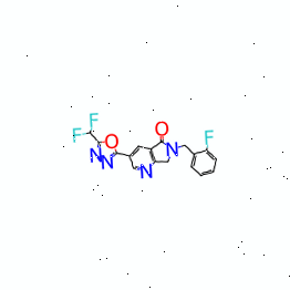 O=C1c2cc(-c3nnc(C(F)F)o3)cnc2CN1Cc1ccccc1F